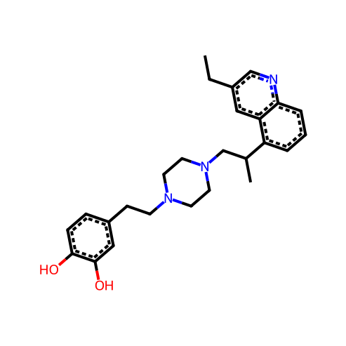 CCc1cnc2cccc(C(C)CN3CCN(CCc4ccc(O)c(O)c4)CC3)c2c1